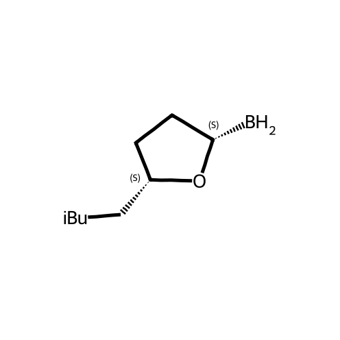 B[C@H]1CC[C@@H](CC(C)CC)O1